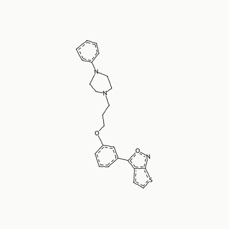 c1ccc(N2CCN(CCCOc3cccc(-c4onc5sccc45)c3)CC2)cc1